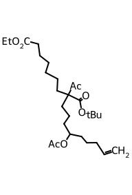 C=CCCCC(CCCC(CCCCCCC(=O)OCC)(C(C)=O)C(=O)OC(C)(C)C)OC(C)=O